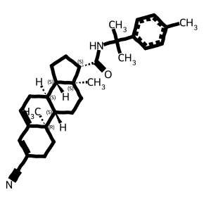 Cc1ccc(C(C)(C)NC(=O)[C@H]2CC[C@H]3[C@@H]4CC=C5C=C(C#N)CC[C@]5(C)[C@H]4CC[C@]23C)cc1